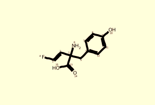 NC(/C=C/F)(Cc1ccc(O)cc1)C(=O)O